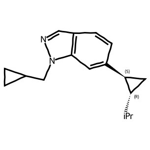 CC(C)[C@H]1C[C@@H]1c1ccc2cnn(CC3CC3)c2c1